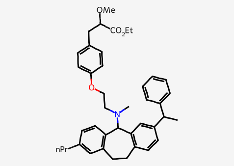 CCCc1ccc2c(c1)CCc1ccc(C(C)c3ccccc3)cc1C2N(C)CCOc1ccc(CC(OC)C(=O)OCC)cc1